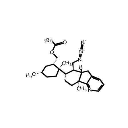 C[C@H]1CC[C@](C)([C@H]2CC[C@]3(C)c4ncccc4C[C@H]3[C@@H]2CN=[N+]=[N-])[C@@H](COC(=O)C(C)(C)C)C1